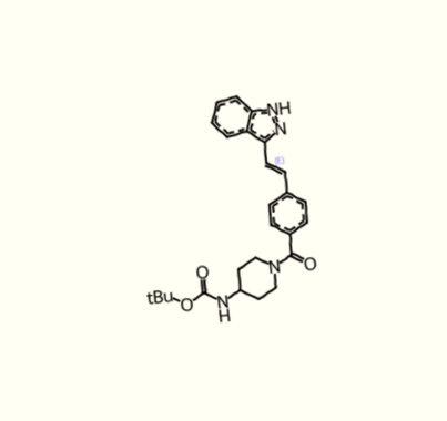 CC(C)(C)OC(=O)NC1CCN(C(=O)c2ccc(/C=C/c3n[nH]c4ccccc34)cc2)CC1